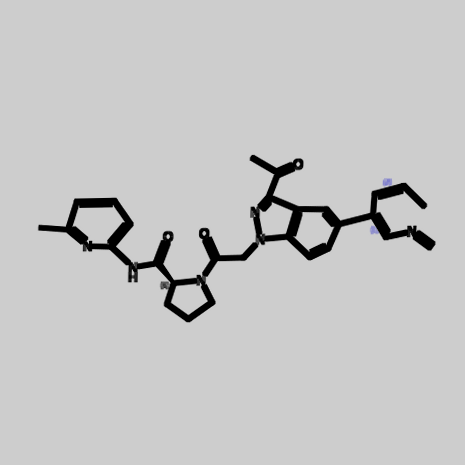 C=N/C=C(\C=C/C)c1ccc2c(c1)c(C(C)=O)nn2CC(=O)N1CCC[C@H]1C(=O)Nc1cccc(C)n1